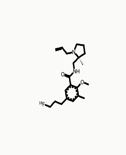 C=CCN1CCC[C@@]1(C)CNC(=O)c1cc(CCC[18F])cc(C)c1OC